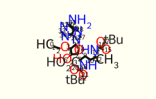 C#CCO[C@@H]1[C@H](O)[C@@H](C(CCC(C)NC(=O)OC(C)(C)C)(NC(=O)OC(C)(C)C)C(=O)O)O[C@H]1n1cnc2c(N)ncnc21